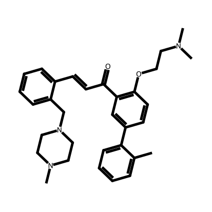 Cc1ccccc1-c1ccc(OCCN(C)C)c(C(=O)/C=C/c2ccccc2CN2CCN(C)CC2)c1